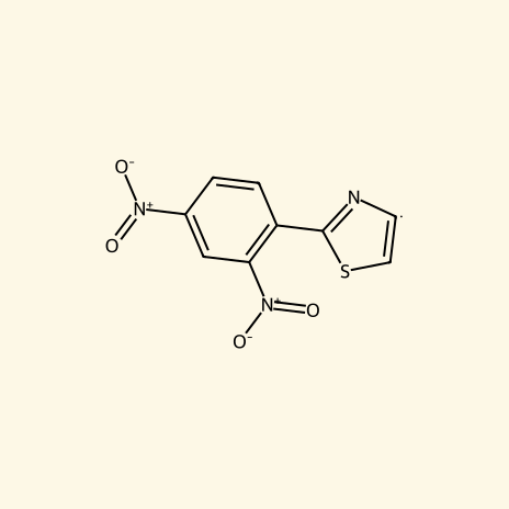 O=[N+]([O-])c1ccc(-c2n[c]cs2)c([N+](=O)[O-])c1